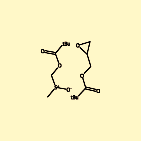 CC(C)(C)C(=O)OCC1CO1.C[S+]([O-])COC(=O)C(C)(C)C